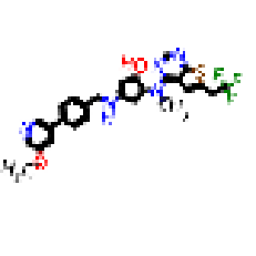 COc1cncc(-c2ccc(CN[C@H]3C[C@@H](O)[C@@H](N(C)c4ncnc5sc(CC(F)(F)F)cc45)C3)cc2)c1